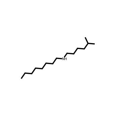 CCCCCCCCNCCCCC(C)C